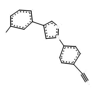 Cc1cccc(-c2cnn(-c3ccc(C#N)cc3)c2)c1